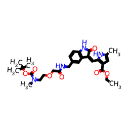 CCOC(=O)c1cc(C)[nH]c1/C=C1\C(=O)Nc2ccc(CNC(=O)COCCN(C)C(=O)OC(C)(C)C)cc21